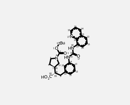 CC(C)(C)OC(=O)N1CC[C@H]([C@H](Cc2cccc(NC(=O)Nc3cccc4cccnc34)c2)C(=O)O)C1